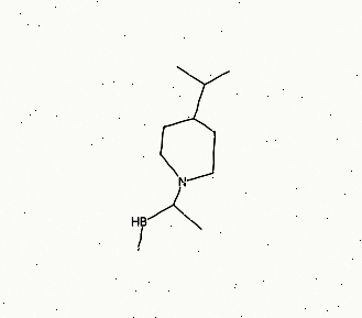 CBC(C)N1CCC(C(C)C)CC1